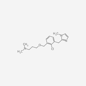 CN(C)CCCOCc1cccc(Cc2nccn2C)c1Cl